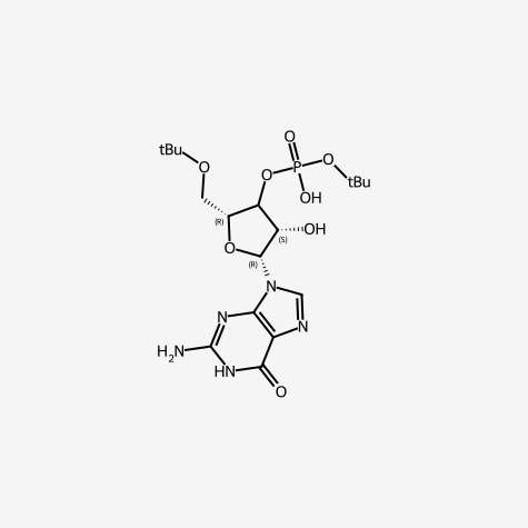 CC(C)(C)OC[C@H]1O[C@@H](n2cnc3c(=O)[nH]c(N)nc32)[C@@H](O)C1OP(=O)(O)OC(C)(C)C